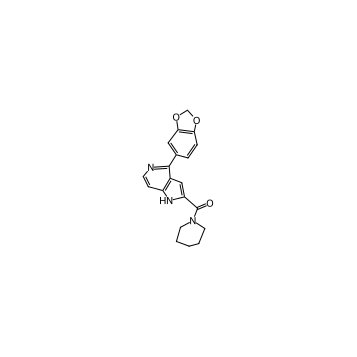 O=C(c1cc2c(-c3ccc4c(c3)OCO4)nccc2[nH]1)N1CCCCC1